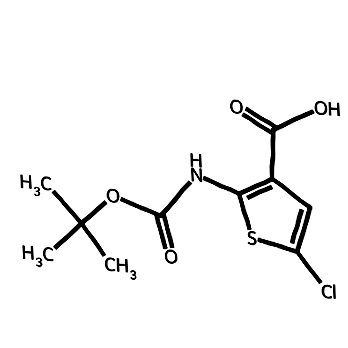 CC(C)(C)OC(=O)Nc1sc(Cl)cc1C(=O)O